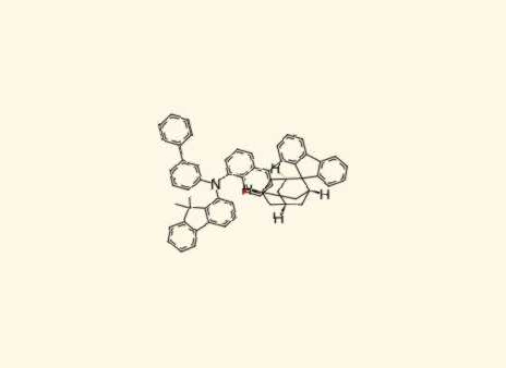 CC1(C)c2ccccc2-c2cccc(N(c3cccc(-c4ccccc4)c3)c3cccc4c(-c5cccc6c5C5(c7ccccc7-6)[C@H]6C[C@H]7C[C@H](C6)C[C@H]5C7)cccc34)c21